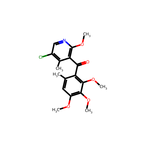 COc1cc(C)c(C(=O)c2c(OC)ncc(Cl)c2C)c(OC)c1OC